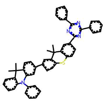 CC1(C)c2cc(-c3ccc4c(c3)N(c3ccccc3)c3ccccc3C4(C)C)ccc2Sc2ccc(-c3nc(-c4ccccc4)nc(-c4ccccc4)n3)cc21